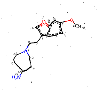 COc1ccc2c(CCN3CCC(N)CC3)coc2c1